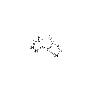 [O]c1ccncc1-c1nnc[nH]1